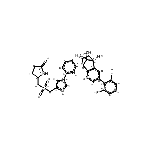 CC1(C)[C@H]2CC[C@]1(c1cccc(-n3cnc(CS(=O)(=O)CC4CCC(=O)N4)n3)n1)c1nnc(-c3c(F)cccc3F)cc12